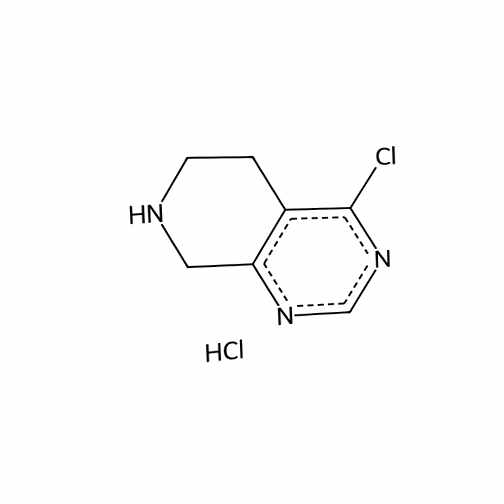 Cl.Clc1ncnc2c1CCNC2